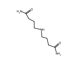 NC(=O)CCCNCCCC(N)=O